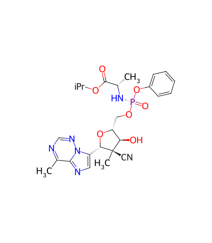 Cc1ncnn2c([C@@H]3O[C@H](CO[P@@](=O)(N[C@@H](C)C(=O)OC(C)C)Oc4ccccc4)[C@@H](O)[C@@]3(C)C#N)cnc12